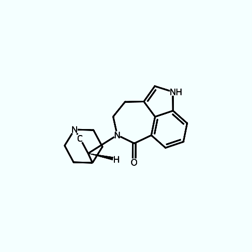 O=C1c2cccc3[nH]cc(c23)CCN1[C@H]1CN2CCC1CC2